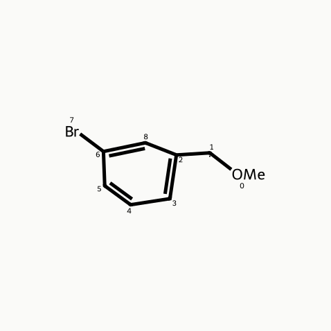 CO[CH]c1cccc(Br)c1